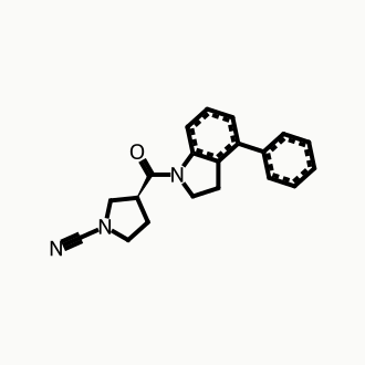 N#CN1CC[C@H](C(=O)N2CCc3c(-c4ccccc4)cccc32)C1